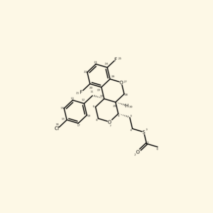 CC(=O)SCC[C@@H]1OCC[C@@]2(Cc3ccc(Cl)cc3)c3c(F)ccc(F)c3OC[C@@H]12